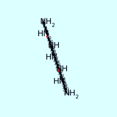 NCCCCCCNCCCCCCNCCCCCCNCCCCCCNCCCCCCNCCCCCCN